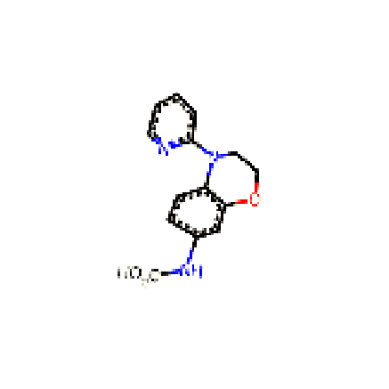 O=C(O)Nc1ccc2c(c1)OCCN2c1ccccn1